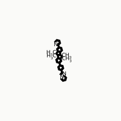 CC1(C)C2=C(c3ccc(-c4ccc(-c5cn6ccccc6n5)cc4)cc31)C(C)(C)c1cc(-c3ccccn3)ccc12